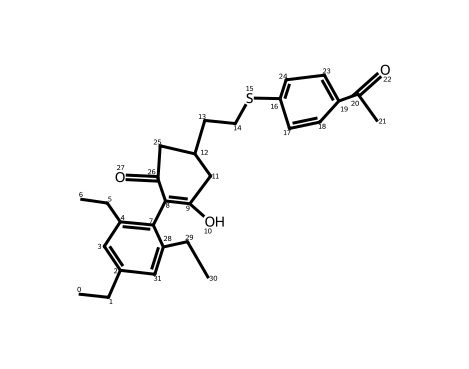 CCc1cc(CC)c(C2=C(O)CC(CCSc3ccc(C(C)=O)cc3)CC2=O)c(CC)c1